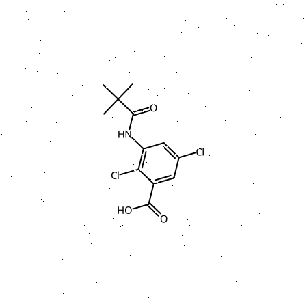 CC(C)(C)C(=O)Nc1cc(Cl)cc(C(=O)O)c1Cl